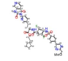 COCc1ncc(-c2ccc(S(=O)(=O)Nc3cc(F)c(C(=O)N[C@@H](CCc4ccc(-n5c(=O)c6ccncc6n(C)c5=O)nc4)C(=O)OCCC4CCCC4)cc3F)cc2)cn1